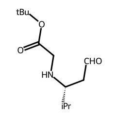 CC(C)[C@@H](CC=O)NCC(=O)OC(C)(C)C